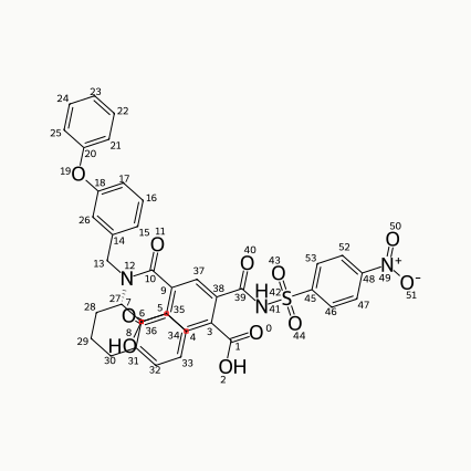 O=C(O)c1cc(C(=O)O)c(C(=O)N(Cc2cccc(Oc3ccccc3)c2)[C@H]2CCCc3ccccc32)cc1C(=O)NS(=O)(=O)c1ccc([N+](=O)[O-])cc1